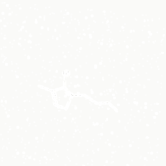 CCCCC1=[C]([Hf])C(C)=CC1